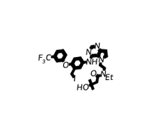 CCN(CCn1ccc2ncnc(Nc3ccc(Oc4cccc(C(F)(F)F)c4)c(CI)c3)c21)C(=O)CC(C)(C)O